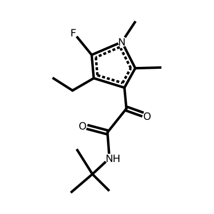 CCc1c(C(=O)C(=O)NC(C)(C)C)c(C)n(C)c1F